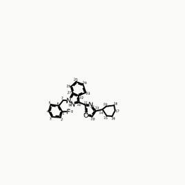 Fc1ccccc1Cn1nc(-c2nc(C3CCCCC3)co2)c2ccccc21